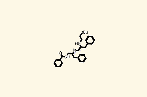 CC(C)(C)CCN/C(=C\N=C(\CNC(=O)c1ccccc1)Cc1ccccc1)Cc1ccccc1